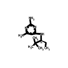 CC[C@H](Nc1cc(N)nc(N)n1)C(C)(C)C